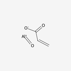 C=CC(=O)[O-].[O]=[Al+]